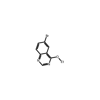 CCOc1ncnc2ccc(Br)cc12